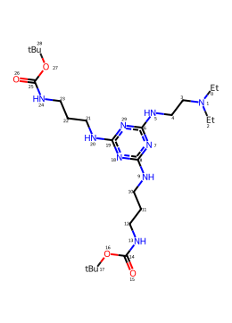 CCN(CC)CCNc1nc(NCCCNC(=O)OC(C)(C)C)nc(NCCCNC(=O)OC(C)(C)C)n1